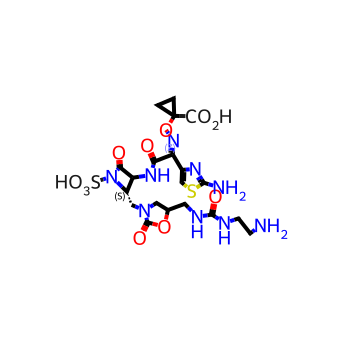 NCCNC(=O)NCC1CN(C[C@H]2C(NC(=O)/C(=N\OC3(C(=O)O)CC3)c3csc(N)n3)C(=O)N2S(=O)(=O)O)C(=O)O1